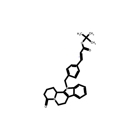 CC(C)(C)OC(=O)/C=C/c1ccc(Cn2c3c(c4ccccc42)CCN2C(=O)CCCC32)cc1